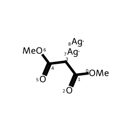 COC(=O)CC(=O)OC.[Ag].[Ag]